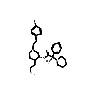 CCCC1CCN(CCc2ccc(F)cc2)C[C@@H]1OC(=O)[C@](C)(c1ccccc1)N1CCCCC1